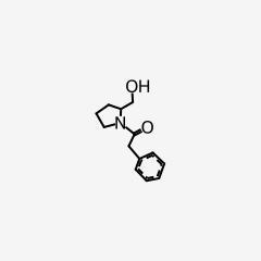 O=C(Cc1ccccc1)N1CCCC1CO